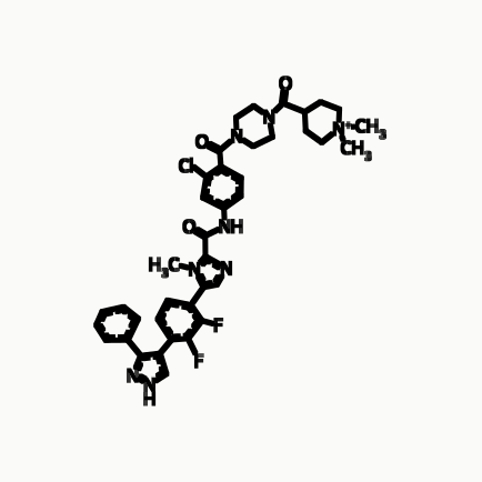 Cn1c(-c2ccc(-c3c[nH]nc3-c3ccccc3)c(F)c2F)cnc1C(=O)Nc1ccc(C(=O)N2CCN(C(=O)C3CC[N+](C)(C)CC3)CC2)c(Cl)c1